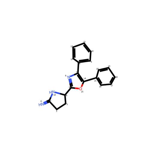 N=C1CCC(c2nc(-c3ccccc3)c(-c3ccccc3)o2)N1